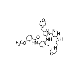 Cc1ccc(NC(=O)c2cccc(OC(F)(F)F)c2)cc1Nc1cc(CN2CCOCC2)nn1-c1cc(NCCN2CCOCC2)ncn1